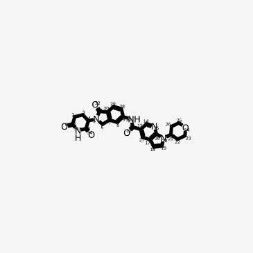 O=C1CCC(N2Cc3cc(NC(=O)c4cnc5c(ccn5C5CCOCC5)c4)ccc3C2=O)C(=O)N1